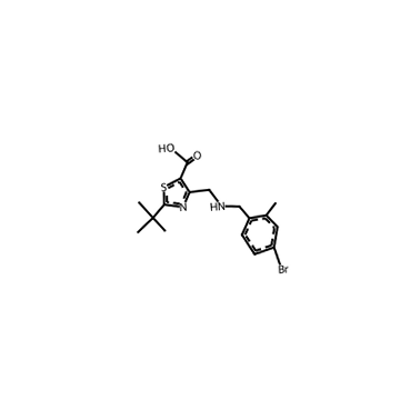 Cc1cc(Br)ccc1CNCc1nc(C(C)(C)C)sc1C(=O)O